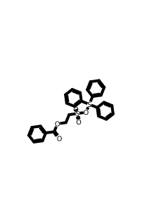 O=C(OCCS(=O)(=O)OS(c1ccccc1)(c1ccccc1)c1ccccc1)c1ccccc1